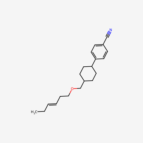 CC/C=C/CCOCC1CCC(c2ccc(C#N)cc2)CC1